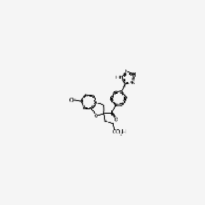 O=C(O)CCC1(C(=O)c2ccc(-c3nnn[nH]3)cc2)Cc2ccc(Cl)cc2O1